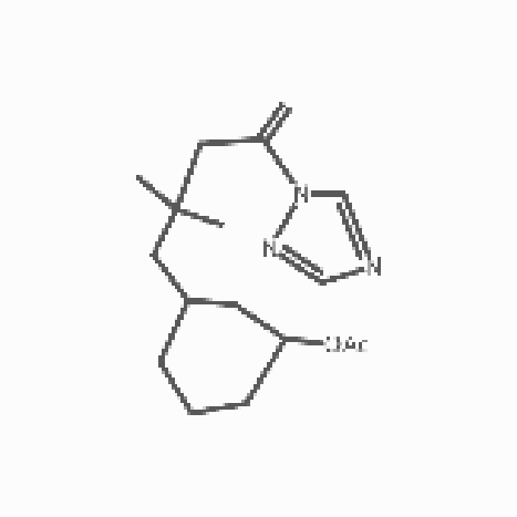 C=C(CC(C)(C)CC1CCCC(OC(C)=O)C1)n1cncn1